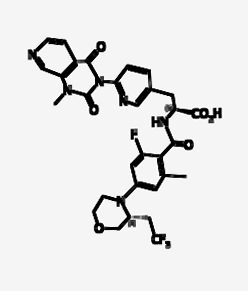 Cc1cc(N2CCOC[C@H]2CC(F)(F)F)cc(F)c1C(=O)N[C@@H](Cc1ccc(-n2c(=O)c3ccncc3n(C)c2=O)nc1)C(=O)O